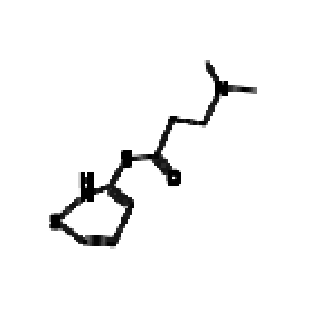 CN(C)CCC(=O)SC1=CC=CSN1